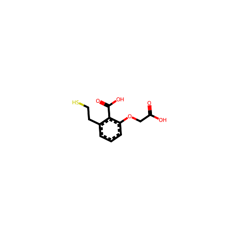 O=C(O)COc1cccc(CCS)c1C(=O)O